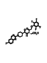 O=C(O)C[C@H](NC(=O)C1CCN(c2ncc3cc(F)ccc3n2)CC1)C(=O)COc1c(F)c(F)cc(F)c1F